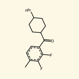 CCCC1CCC(C(=O)c2ccc(C)c(F)c2F)CC1